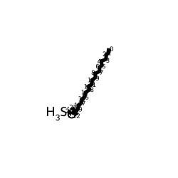 C=CCCCCCCCCCCCCCCCCCCC(C)(C)O[SiH3]